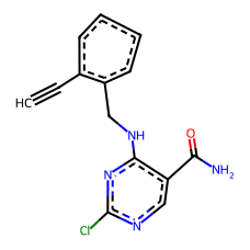 C#Cc1ccccc1CNc1nc(Cl)ncc1C(N)=O